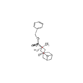 CCCN1CC2CC(C1)N2C(=O)CC(C)(C)C(=O)OCc1ccccc1